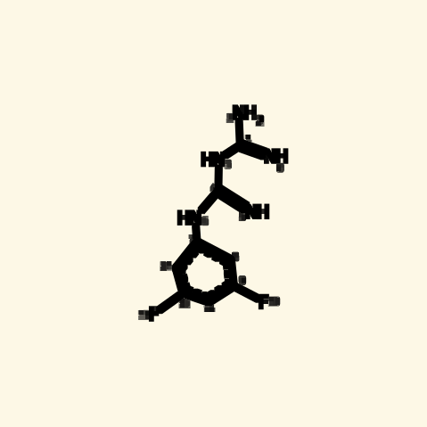 N=C(N)NC(=N)Nc1cc(F)cc(F)c1